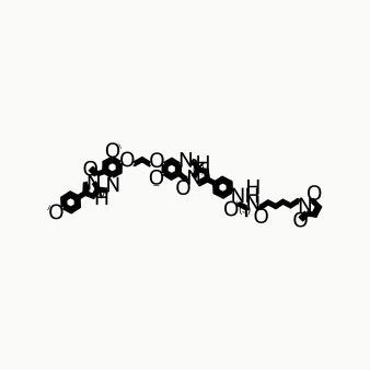 COc1ccc(C2=CN3C(=O)c4cc(OC)c(OCCCOc5cc6c(cc5OC)C(=O)N5C=C(c7ccc(NC(=O)[C@H](C)NC(=O)CCCCCN8C(=O)C=CC8=O)cc7)C[C@H]5C=N6)cc4N=C[C@@H]3C2)cc1